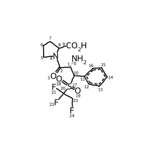 N[C@@H](C(=O)N1CCCC1C(=O)O)C(c1ccccc1)S(=O)(=O)C(F)(F)CF